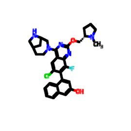 CN1CCC[C@H]1COc1nc(N2CCC3CNC(C3)C2)c2cc(Cl)c(-c3cc(O)cc4ccccc34)c(F)c2n1